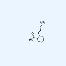 CCCCCC1CCNCC1C(=O)O